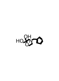 OCC1(CO)CN(Cc2ccccc2)CCO1